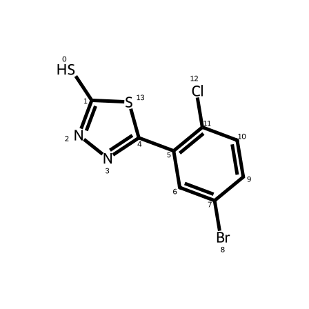 Sc1nnc(-c2cc(Br)ccc2Cl)s1